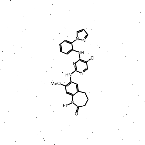 CCN1C(=O)CCCc2cc(Nc3ncc(Cl)c(Nc4ccccc4-n4cccn4)n3)c(OC)cc21